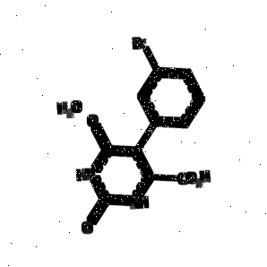 O.O=C(O)c1[nH]c(=O)[nH]c(=O)c1-c1cccc(Br)c1